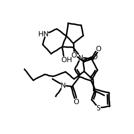 CCCCCCC(CCC)C(=O)OC1CCCC12CNCCC2(O)Cn1cc(C(=O)N(C)C)c(-c2ccsc2)cc1=O